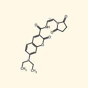 CCN(CC)c1ccc2cc(C(=O)N/C=C\N3C(=O)CCC3=O)c(=O)oc2c1